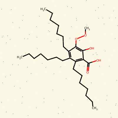 CCCCCCCc1c(CCCCCCC)c(OOC)c(O)c(C(=O)O)c1CCCCCCC